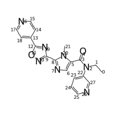 CCN(C(=O)c1cnc(-c2noc(-c3ccncc3)n2)n1C)c1cccnc1